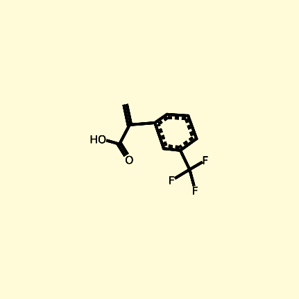 C=C(C(=O)O)c1cccc(C(F)(F)F)c1